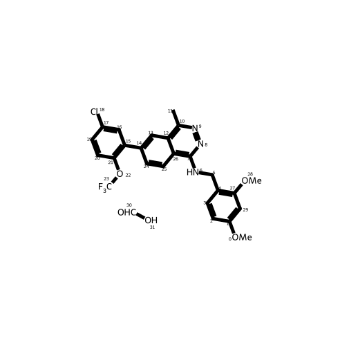 COc1ccc(CNc2nnc(C)c3cc(-c4cc(Cl)ccc4OC(F)(F)F)ccc23)c(OC)c1.O=CO